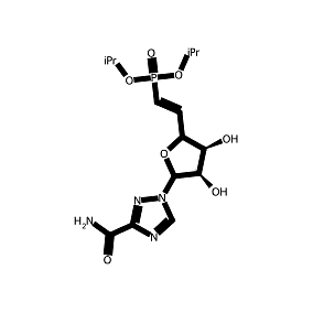 CC(C)OP(=O)(/C=C/C1OC(n2cnc(C(N)=O)n2)[C@H](O)[C@@H]1O)OC(C)C